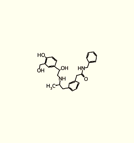 C[C@H](Cc1cccc(CC(=O)NCc2ccccc2)c1)NC[C@@H](O)c1ccc(O)c(CO)c1